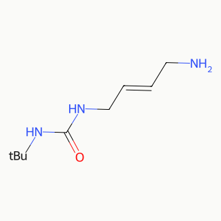 CC(C)(C)NC(=O)NCC=CCN